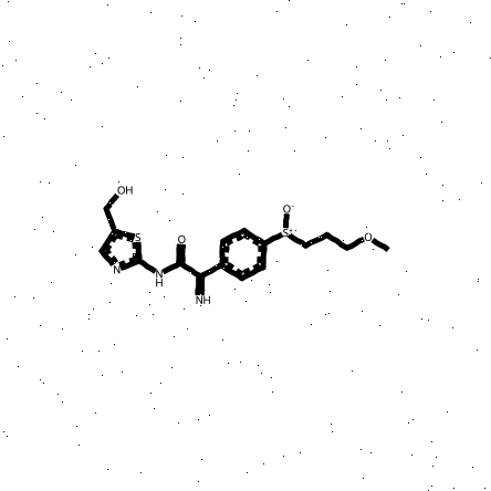 COCCC[S+]([O-])c1ccc(C(=N)C(=O)Nc2ncc(CO)s2)cc1